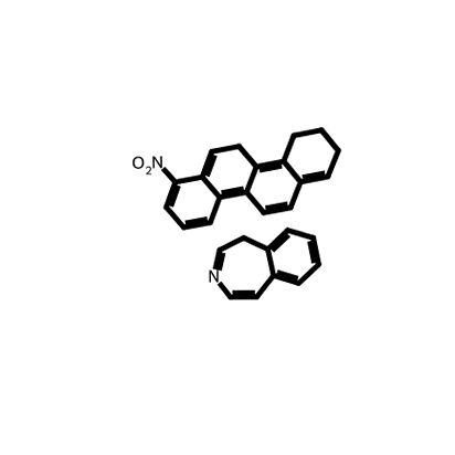 C1=Cc2ccccc2CC=N1.O=[N+]([O-])c1cccc2c1=CCc1c3c(ccc1=2)=CCCC3